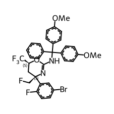 COc1ccc(C(NC2=N[C@](CF)(c3cc(Br)ccc3F)C[C@@H](C(F)(F)F)O2)(c2ccccc2)c2ccc(OC)cc2)cc1